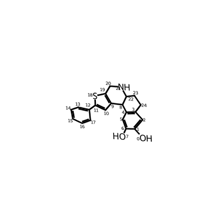 Oc1cc2c(cc1O)C1c3cc(-c4ccccc4)sc3CNC1CC2